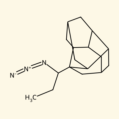 CCC(N=[N+]=[N-])C12CC3CC4C5CC(CC41)CC2C5C3